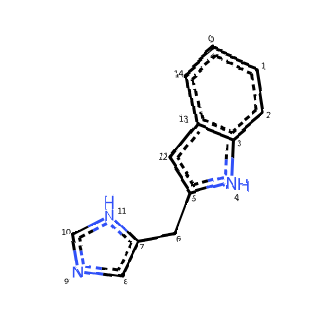 c1ccc2[nH]c(Cc3cnc[nH]3)cc2c1